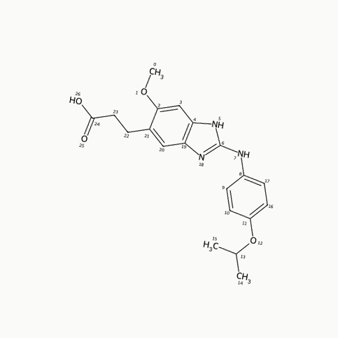 COc1cc2[nH]c(Nc3ccc(OC(C)C)cc3)nc2cc1CCC(=O)O